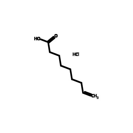 C=CCCCCCCC(=O)O.Cl